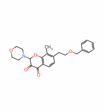 Cc1c(CCOCc2ccccc2)ccc2c1OC(N1CCOCC1)C(=O)C2=O